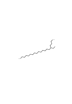 [CH2]CCCCCCCCCCCCCCC(CC)CCC[CH2]